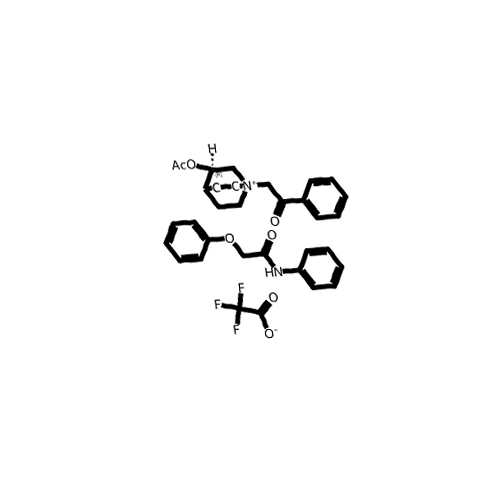 CC(=O)O[C@H]1C[N+]2(CC(=O)c3ccccc3)CCC1CC2.O=C(COc1ccccc1)Nc1ccccc1.O=C([O-])C(F)(F)F